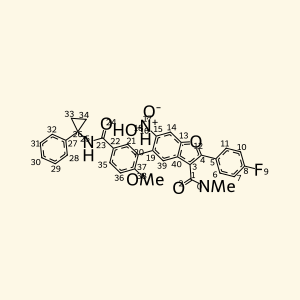 CNC(=O)c1c(-c2ccc(F)cc2)oc2cc([NH+]([O-])O)c(-c3cc(C(=O)NC4(c5ccccc5)CC4)ccc3OC)cc12